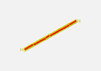 SSSSSSSSSSSSSSSSSSSSSSSSSSSSSSSSSSSSSSSSSSSSSSSSSSSSSSSSSSSSSSSSSSSSSSSSSSSSSSSSSSSSSSSS